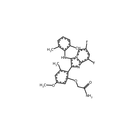 COc1cc(C)c(-c2nc3c(F)cc(F)cn3c2Nc2c(C)cccc2C)c(OCC(N)=O)c1